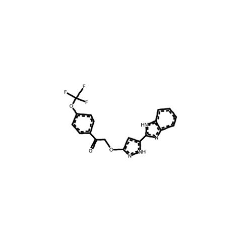 O=C(COc1cc(-c2nc3ccccc3[nH]2)[nH]n1)c1ccc(OC(F)(F)F)cc1